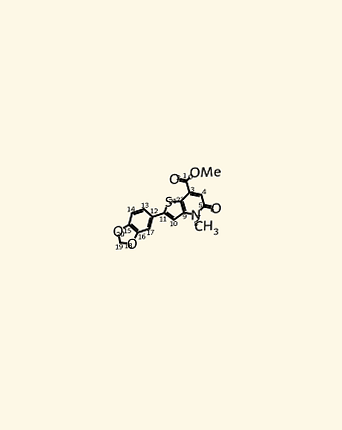 COC(=O)c1cc(=O)n(C)c2cc(-c3ccc4c(c3)OCO4)sc12